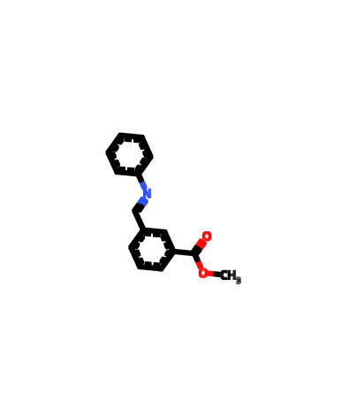 COC(=O)c1cccc(C=Nc2ccccc2)c1